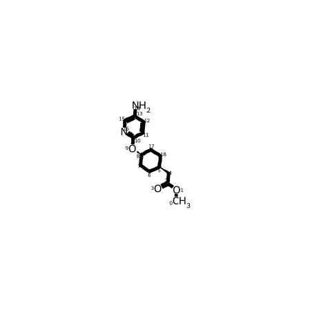 COC(=O)C[C@H]1CC[C@H](Oc2ccc(N)cn2)CC1